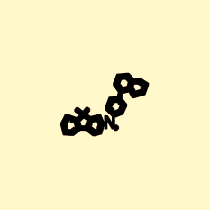 CN(c1ccc(-c2cccc3ccccc23)cc1)c1ccc2c(c1)C(C)(C)c1ccccc1-2